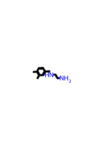 Cc1ccc(CNCCN)cc1C